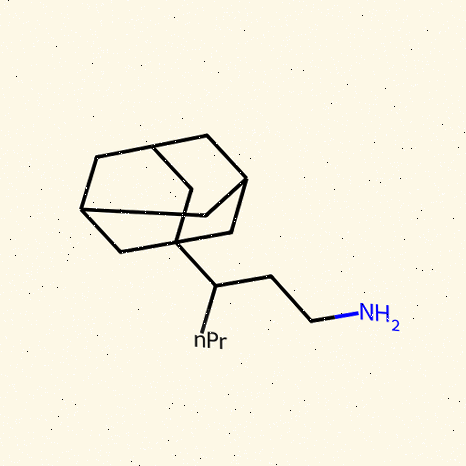 CCCC(CCN)C12CC3CC(CC(C3)C1)C2